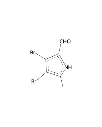 Cc1[nH]c(C=O)c(Br)c1Br